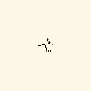 CCO.I.N